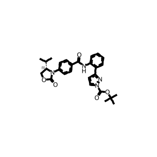 CC(C)[C@H]1COC(=O)N1c1ccc(C(=O)Nc2ccccc2-c2ccn(C(=O)OC(C)(C)C)n2)cc1